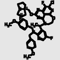 COc1ccc(CN(Cc2ccc(OC)cc2)c2ncc(F)cc2C(C)N2CCOc3nc(Cl)c(F)c4nc(OC[C@@]56CCCN5C[C@H](F)C6)nc2c34)cc1